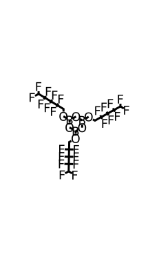 FC(F)C(F)(F)C(F)(F)C(F)(F)COB1OB(OCC(F)(F)C(F)(F)C(F)(F)C(F)F)OB(OCC(F)(F)C(F)(F)C(F)(F)C(F)F)O1